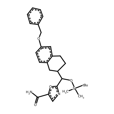 CC(C)(C)[Si](C)(C)OC(c1ncc(C(N)=O)o1)C1CCc2cc(OCc3ccccc3)ccc2C1